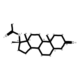 CC(=O)O[C@@]1(C)CCC2C3CCC4CC(=O)CCC4(C)C3CCC21C